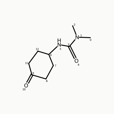 CN(C)C(=O)NC1CCC(=O)CC1